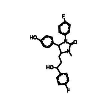 CN1C(=O)N(c2ccc(F)cc2)C(c2ccc(O)cc2)C1CCC(O)c1ccc(F)cc1